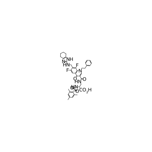 Cc1cc(C)c(S(=O)(=O)NC(CNC(=O)c2cn(CCc3ccccc3)c3c(F)c(CNc4nc5c([nH]4)CCCC5)c(F)cc3c2=O)C(=O)O)c(C)c1